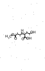 COC(=O)CCNC(CCO)C(=O)O